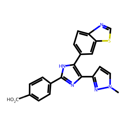 Cn1ccc(-c2nc(-c3ccc(C(=O)O)cc3)[nH]c2-c2ccc3ncsc3c2)n1